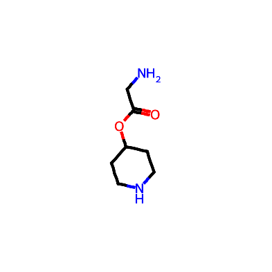 NCC(=O)OC1CCNCC1